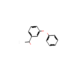 CC(O)c1cccc(Oc2ccccc2)c1